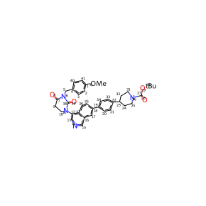 COc1ccc(CN2C(=O)CCN(c3cncc4cc(-c5ccc(C6CCN(C(=O)OC(C)(C)C)CC6)cc5)ccc34)C2=O)cc1